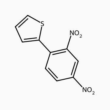 O=[N+]([O-])c1ccc(-c2cccs2)c([N+](=O)[O-])c1